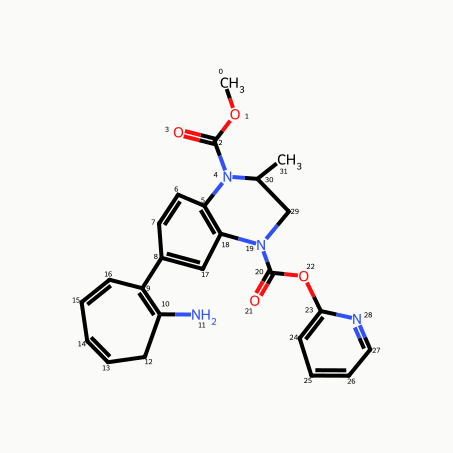 COC(=O)N1c2ccc(C3=C(N)CC=CC=C3)cc2N(C(=O)Oc2ccccn2)CC1C